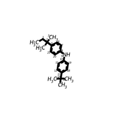 CCC(C)(C)c1ccc(Nc2ccc(C(C)(C)C)cc2)cc1